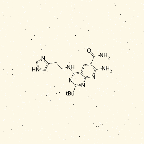 CC(C)(C)c1nc(NCCc2c[nH]cn2)c2cc(C(N)=O)c(N)nc2n1